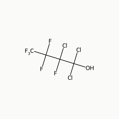 OC(Cl)(Cl)C(F)(Cl)C(F)(F)C(F)(F)F